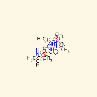 COC[C@H](NC(=O)c1cnc(C)s1)C(=O)N[C@@H](COC)C(=O)N[C@@H](Cc1ccccc1)C(=O)[C@@](C)(CI)OC(=O)C(N)C(C)C